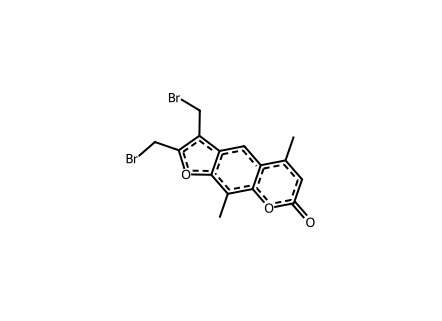 Cc1cc(=O)oc2c(C)c3oc(CBr)c(CBr)c3cc12